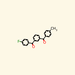 Cc1ccc(C(=O)c2cccc(C(=O)c3ccc(F)cc3)c2)cc1